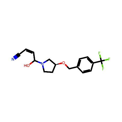 N#C/C=C\C(O)N1CC[C@H](OCc2ccc(C(F)(F)F)cc2)C1